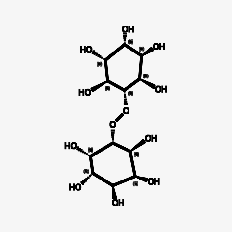 O[C@@H]1[C@@H](O)[C@@H](O)[C@H](OO[C@H]2[C@@H](O)[C@@H](O)[C@H](O)[C@H](O)[C@@H]2O)[C@@H](O)[C@@H]1O